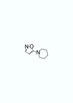 c1cc(N2CCCCC2)on1